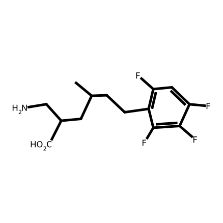 CC(CCc1c(F)cc(F)c(F)c1F)CC(CN)C(=O)O